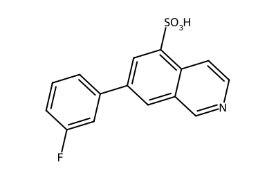 O=S(=O)(O)c1cc(-c2cccc(F)c2)cc2cnccc12